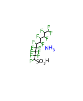 N.O=S(=O)(O)C(F)C(F)(F)C(F)(F)C(F)(F)C(F)C(F)C(F)C(F)C(F)C(F)F